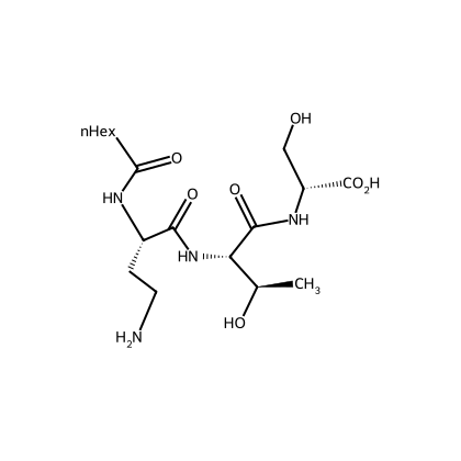 CCCCCCC(=O)N[C@@H](CCN)C(=O)N[C@H](C(=O)N[C@H](CO)C(=O)O)[C@@H](C)O